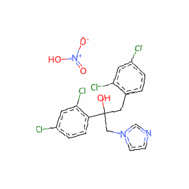 O=[N+]([O-])O.OC(Cc1ccc(Cl)cc1Cl)(Cn1ccnc1)c1ccc(Cl)cc1Cl